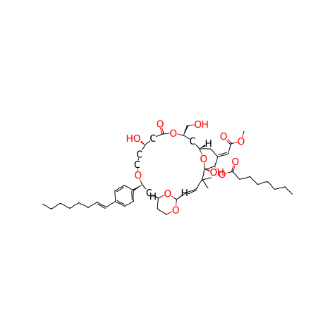 CCCCCC/C=C/c1ccc([C@@H]2C[C@@H]3CCO[C@H](/C=C/C(C)(C)[C@]4(O)O[C@@H](C/C(=C\C(=O)OC)[C@@H]4OC(=O)CCCCCCC)C[C@H](CO)OC(=O)C[C@H](O)CCO2)O3)cc1